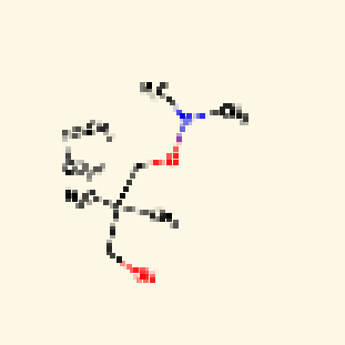 C=CC(=O)O.CN(C)OCC(C)(C)CO